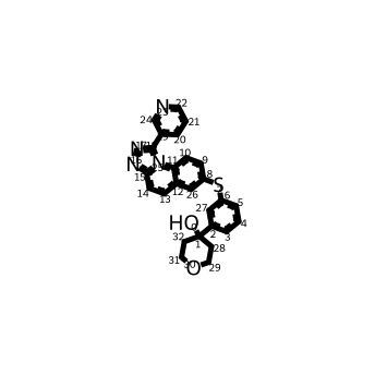 OC1(c2cccc(Sc3ccc4c(ccc5nnc(-c6cccnc6)n54)c3)c2)CCOCC1